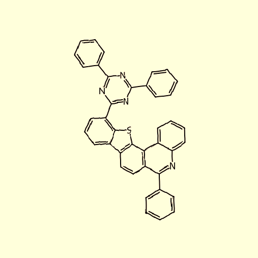 c1ccc(-c2nc(-c3ccccc3)nc(-c3cccc4c3sc3c4ccc4c(-c5ccccc5)nc5ccccc5c43)n2)cc1